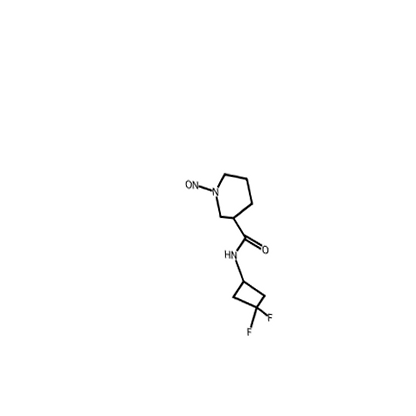 O=NN1CCCC(C(=O)NC2CC(F)(F)C2)C1